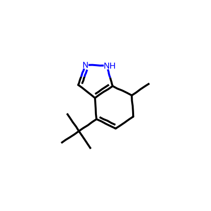 CC1CC=C(C(C)(C)C)c2cn[nH]c21